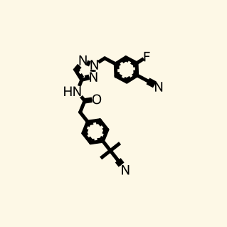 CC(C)(C#N)c1ccc(CC(=O)Nc2cnn(Cc3ccc(C#N)c(F)c3)n2)cc1